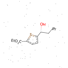 CCOC(=O)c1ccc([C@H](O)CC(C)C)s1